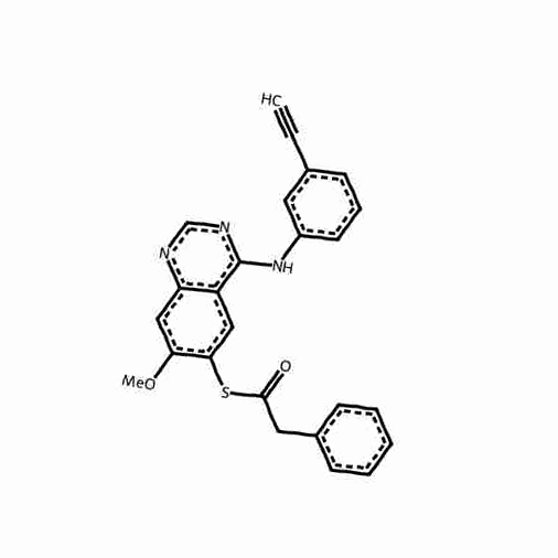 C#Cc1cccc(Nc2ncnc3cc(OC)c(SC(=O)Cc4ccccc4)cc23)c1